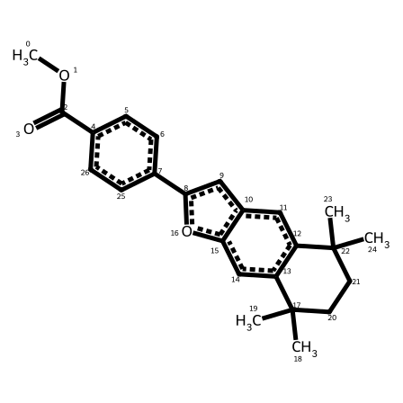 COC(=O)c1ccc(-c2cc3cc4c(cc3o2)C(C)(C)CCC4(C)C)cc1